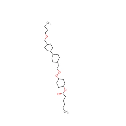 CCCCCC(=O)OC1CCC(OOCCC2CCC(C3CCC(COCCCC)CC3)CC2)CC1